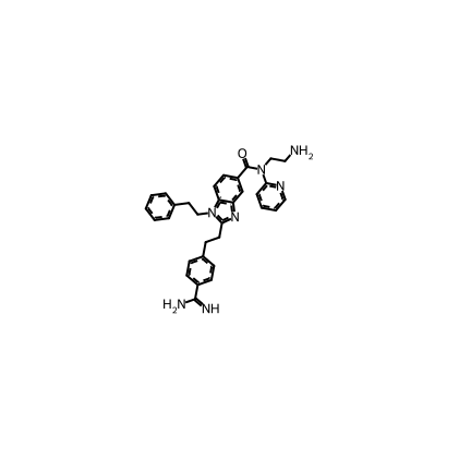 N=C(N)c1ccc(CCc2nc3cc(C(=O)N(CCN)c4ccccn4)ccc3n2CCc2ccccc2)cc1